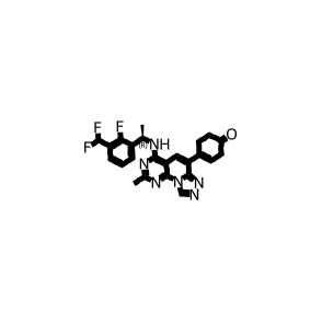 Cc1nc(N[C@H](C)c2cccc(C(F)F)c2F)c2cc(C3=CCC(=O)CC3)c3nncn3c2n1